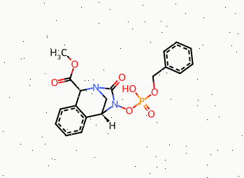 COC(=O)C1c2ccccc2[C@@H]2CN1C(=O)N2OP(=O)(O)OCc1ccccc1